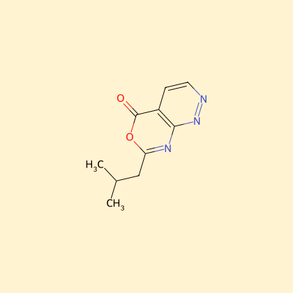 CC(C)Cc1nc2nnccc2c(=O)o1